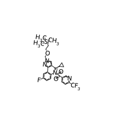 C[Si](C)(C)CCOCn1cc2c(n1)-c1cc(F)ccc1N(S(=O)(=O)c1ccc(C(F)(F)F)nc1)[C@@H]2C1CC1